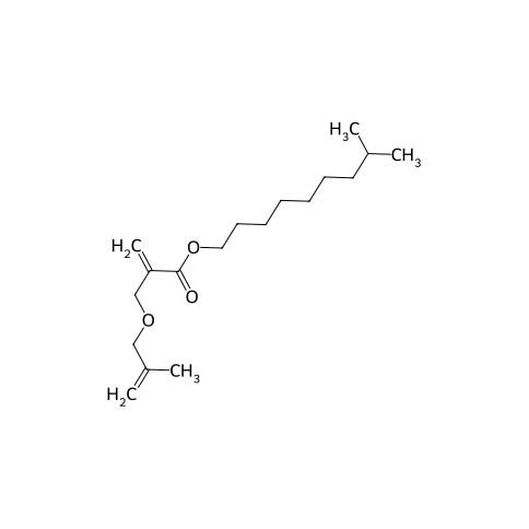 C=C(C)COCC(=C)C(=O)OCCCCCCCC(C)C